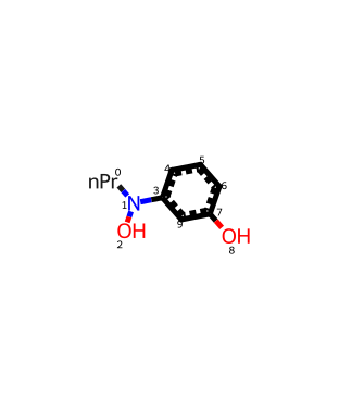 CCCN(O)c1cccc(O)c1